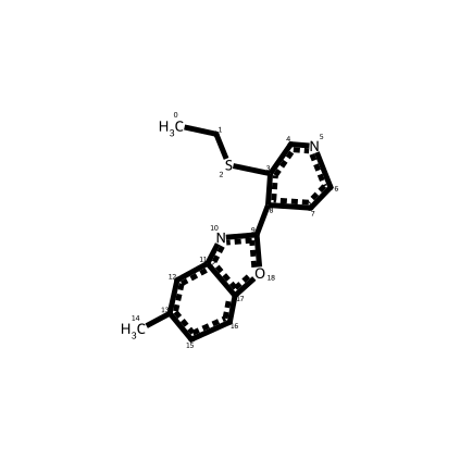 CCSc1cnccc1-c1nc2cc(C)ccc2o1